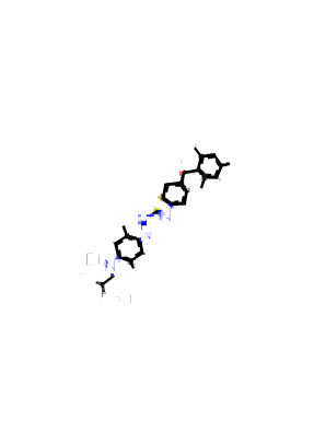 CCCCC(CC)CN(CC)c1cc(C)c(/N=N/c2nc3ccc(C(=O)c4c(C)cc(C)cc4C)cc3s2)cc1C